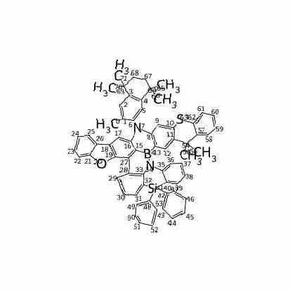 Cc1cc2c(cc1N1c3cc4c(cc3B3c5c1cc1c(oc6ccccc61)c5-c1cccc5c1N3c1ccccc1[Si]5(c1ccccc1)c1ccccc1)C(C)(C)c1ccccc1S4)C(C)(C)CCC2(C)C